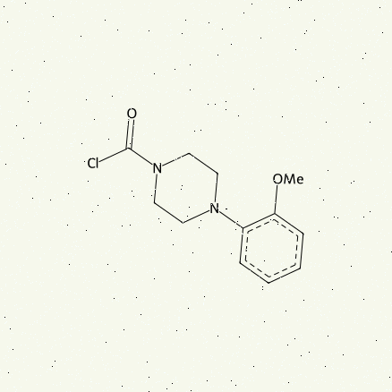 COc1ccccc1N1CCN(C(=O)Cl)CC1